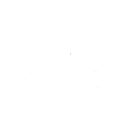 O=S(=O)([O-])CC(F)C(F)C(F)CF.[K+]